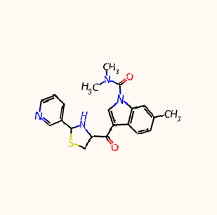 Cc1ccc2c(C(=O)C3CSC(c4cccnc4)N3)cn(C(=O)N(C)C)c2c1